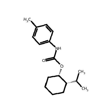 Cc1ccc(NC(=O)O[C@H]2CCCC[C@H]2C(C)C)cc1